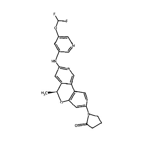 C[C@@H]1Oc2cc(N3CCCC3=O)ccc2-c2cnc(Nc3cncc(OC(F)F)c3)cc21